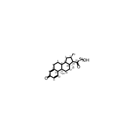 C[C@@H]1CC2C3CCC4=CC(=O)C=C[C@]4(C)C3CC[C@]2(C)C1C(=O)SO